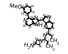 C=C/C(=N\C(=C/C)c1ccc2c(n1)C(c1nc3c(-c4cccc(OC)c4)nccc3[nH]1)=C=N2)N1CC(N)C1